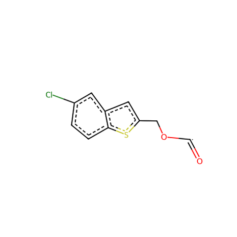 O=[C]OCc1cc2cc(Cl)ccc2s1